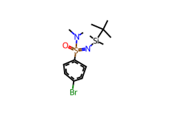 CN(C)S(=O)(=N[Si](C)(C)C(C)(C)C)c1ccc(Br)cc1